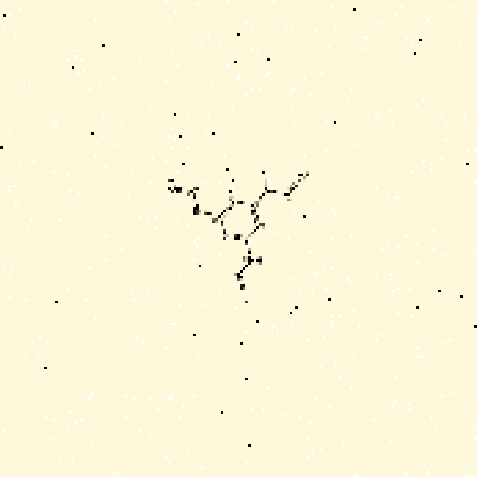 O=CNc1cc(NC=O)cc(NC=O)c1